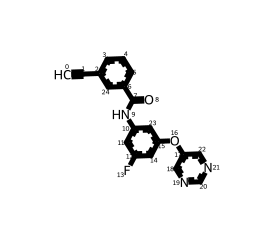 C#Cc1cccc(C(=O)Nc2cc(F)cc(Oc3cncnc3)c2)c1